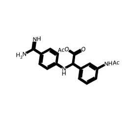 CC(=O)Nc1cccc(C(Nc2ccc(C(=N)N)cc2)C(=O)OC(C)=O)c1